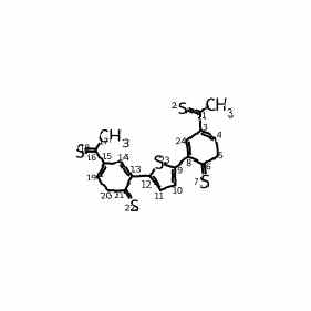 CC(=S)C1=CCC(=S)C(c2ccc(C3=CC(C(C)=S)=CCC3=S)s2)=C1